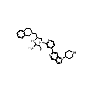 CC(CF)NC(CNc1cc(-c2ncc3ccn(C4CCNCC4)c3n2)ccn1)CN1CCc2ccccc2C1